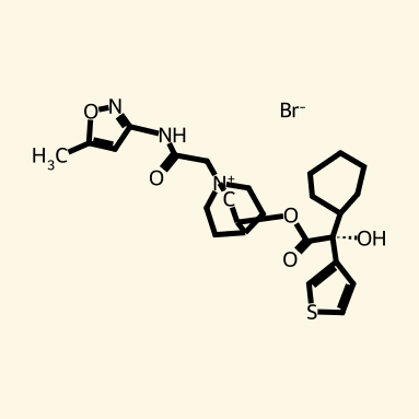 Cc1cc(NC(=O)C[N+]23CCC(CC2)C(OC(=O)[C@](O)(c2ccsc2)C2CCCCC2)C3)no1.[Br-]